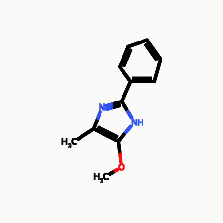 COc1[nH]c(-c2ccccc2)nc1C